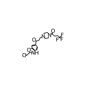 O=CC1Nc2ccc(C(=O)CCN3CCN(C(=O)CCC(F)(F)F)CC3)cc2O1